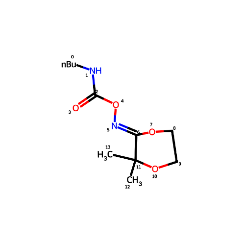 CCCCNC(=O)ON=C1OCCOC1(C)C